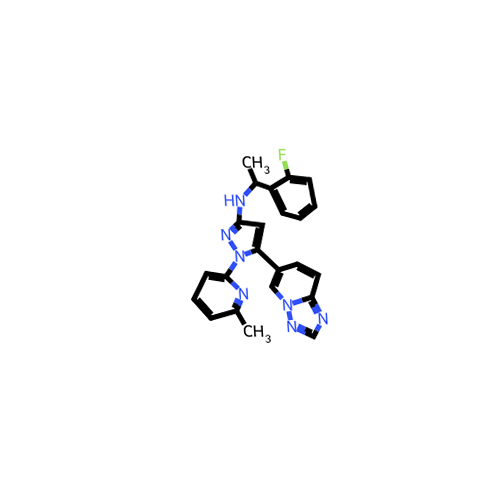 Cc1cccc(-n2nc(NC(C)c3ccccc3F)cc2-c2ccc3ncnn3c2)n1